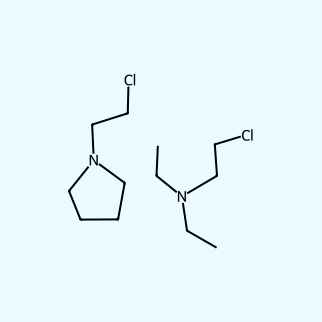 CCN(CC)CCCl.ClCCN1CCCC1